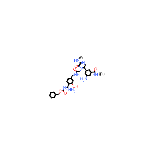 CC[C@H](C)NC(=O)c1cc(N)cc(-c2cnc(NC(C)C)c(=O)n2CC(=O)NCc2ccc(/C(N)=N/C(=O)OCc3ccccc3)c(O)c2)c1